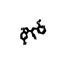 COc1ncccc1C=C(C#N)c1c[nH]c2ccc(Br)cc12